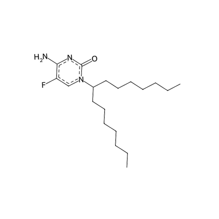 CCCCCCCC(CCCCCCC)n1cc(F)c(N)nc1=O